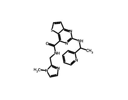 CC(Nc1nc(C(=O)NCc2nccn2C)c2sccc2n1)c1ccccn1